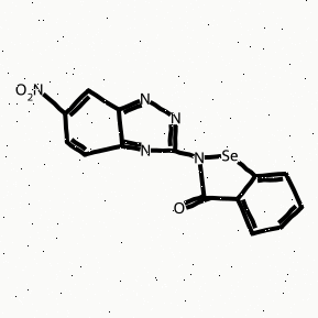 O=c1c2ccccc2[se]n1-c1nnc2cc([N+](=O)[O-])ccc2n1